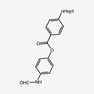 CCCCCCCc1ccc(C(=O)Oc2ccc(NC=O)cc2)cc1